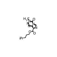 CC(C)CCCOC(=O)c1ncn2c(=O)n(C)nnc12